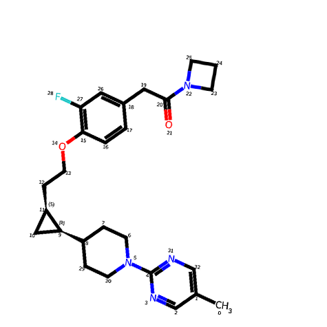 Cc1cnc(N2CCC([C@H]3C[C@H]3CCOc3ccc(CC(=O)N4CCC4)cc3F)CC2)nc1